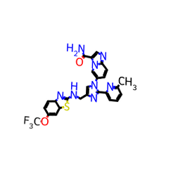 Cc1cccc(-c2nc(CNC3=NC4C=CC(OC(F)(F)F)=CC4S3)cn2-c2ccc3ncc(C(N)=O)n3c2)n1